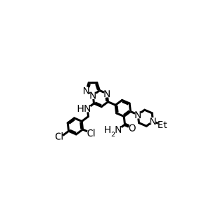 CCN1CCN(c2ccc(-c3cc(NCc4ccc(Cl)cc4Cl)n4nccc4n3)cc2C(N)=O)CC1